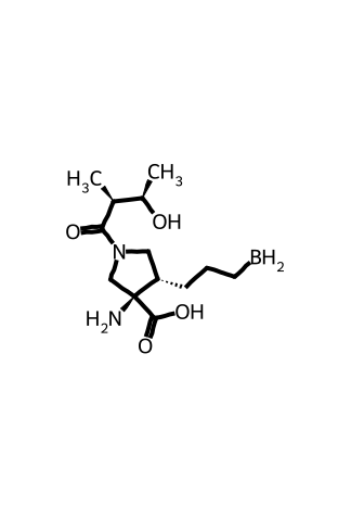 BCCC[C@H]1CN(C(=O)[C@@H](C)[C@@H](C)O)C[C@@]1(N)C(=O)O